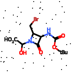 CC(C)(C)OC(=O)NC1C(=O)N(C(O)C(=O)O)C1CBr